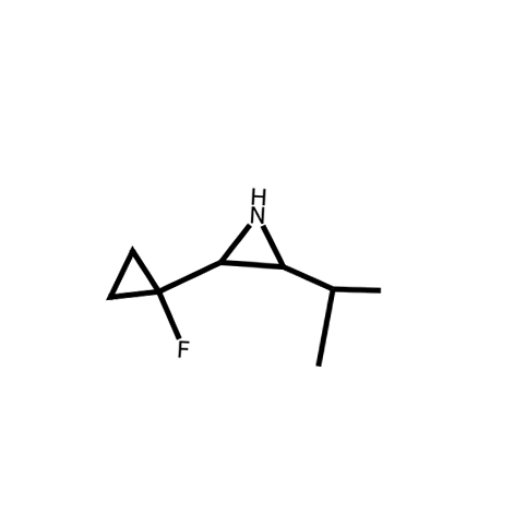 CC(C)C1NC1C1(F)CC1